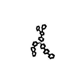 c1ccc(-c2ccc(-c3ccc(N(c4ccc(-c5ccc(-c6ccccc6)c(-c6ccccc6)c5)cc4)c4cccc(-c5ccc6ccccc6c5)c4)cc3)cc2)cc1